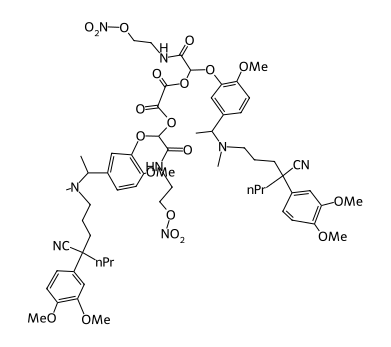 CCCC(C#N)(CCCN(C)C(C)c1ccc(OC)c(OC(OC(=O)C(=O)OC(Oc2cc(C(C)N(C)CCCC(C#N)(CCC)c3ccc(OC)c(OC)c3)ccc2OC)C(=O)NCCO[N+](=O)[O-])C(=O)NCCO[N+](=O)[O-])c1)c1ccc(OC)c(OC)c1